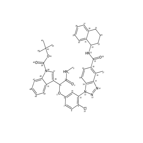 CNC(=O)C(Oc1ccc(Cl)c(-n2nnc3c(C)c(C(=O)NC4CCCc5ccccc54)ccc32)c1)c1cn(C(=O)OC(C)(C)C)c2ccccc12